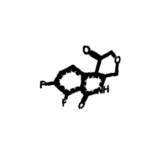 O=C1COCc2[nH]c(=O)c3c(F)c(F)ccc3c21